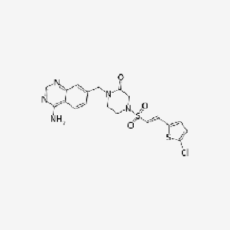 Nc1ncnc2cc(CN3CCN(S(=O)(=O)C=Cc4ccc(Cl)s4)CC3=O)ccc12